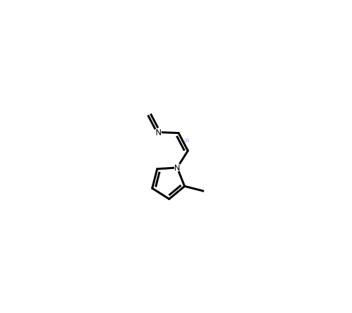 C=N/C=C\n1cccc1C